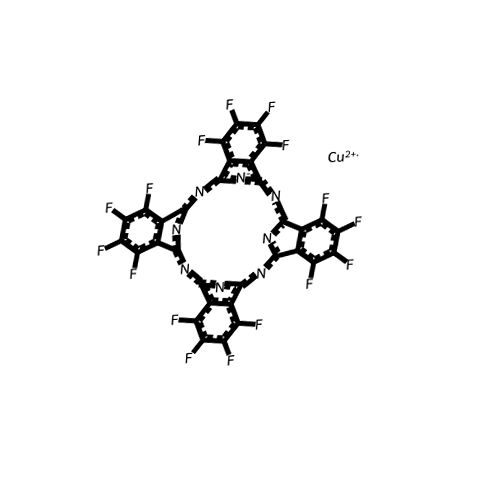 Fc1c(F)c(F)c2c(c1F)-c1nc-2nc2[n-]c(nc3nc(nc4[n-]c(n1)c1c(F)c(F)c(F)c(F)c41)-c1c(F)c(F)c(F)c(F)c1-3)c1c(F)c(F)c(F)c(F)c21.[Cu+2]